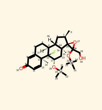 C[C@@H]1C[C@H]2[C@@H]3CCC4=CC(=O)C=C[C@]4(C)[C@@]3(F)[C@@H](O[Si](C)(C)C)C[C@]2(C)[C@]12OC2(CO)O[Si](C)(C)C